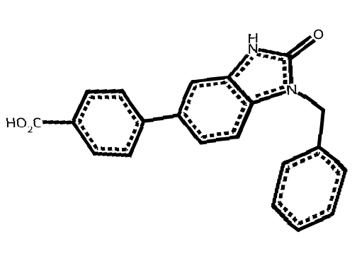 O=C(O)c1ccc(-c2ccc3c(c2)[nH]c(=O)n3Cc2ccccc2)cc1